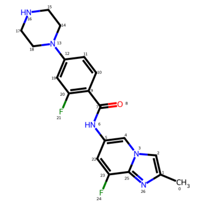 Cc1cn2cc(NC(=O)c3ccc(N4CCNCC4)cc3F)cc(F)c2n1